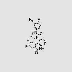 CC(C)CN(C(=O)Nc1ccc(F)c(C#N)c1)C1COCc2[nH]c(=O)c3cc(F)c(F)cc3c21